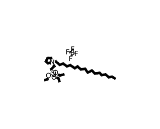 CCCCCCCCCCCCCCCCCC[N+]1(CC[Si](OCC)(OCC)OCC)CCCC1.F[B-](F)(F)F